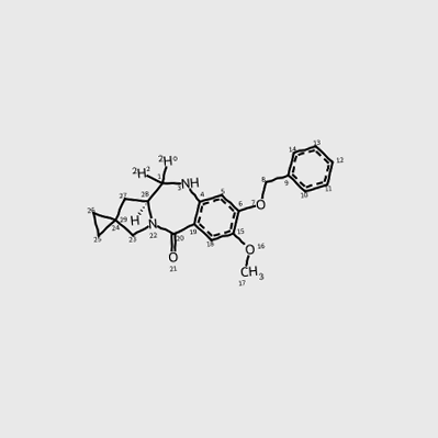 [2H]C1([2H])Nc2cc(OCc3ccccc3)c(OC)cc2C(=O)N2CC3(CC3)C[C@H]21